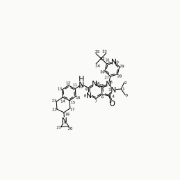 CC(C)n1c(=O)c2cnc(Nc3ccc4c(c3)CC(N3CC3)CC4)nc2n1-c1ccnc(C(C)(C)C)c1